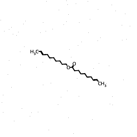 CC=CCCCCCCCOC(=O)CCCCCCC=CC